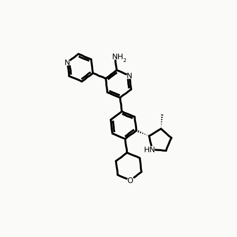 C[C@@H]1CCN[C@@H]1c1cc(-c2cnc(N)c(-c3ccncc3)c2)ccc1C1CCOCC1